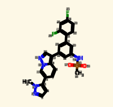 Cn1nccc1-c1ccc2c(-c3cc(NS(C)(=O)=O)cc(-c4ccc(F)cc4F)c3)cnn2c1